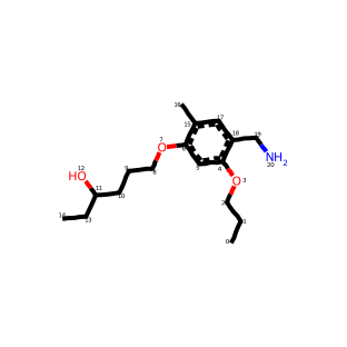 CCCOc1cc(OCCCC(O)CC)c(C)cc1CN